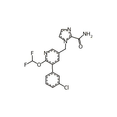 NC(=O)c1nccn1Cc1cnc(OC(F)F)c(-c2cccc(Cl)c2)c1